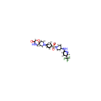 O=C1COC2(CCN(c3ccc(S(=O)(=O)N4CCC(Nc5ccc(C(F)(F)F)cn5)CC4)cc3)CC2)CN1